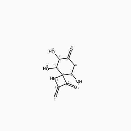 O=C1NC2(C1=O)C(O)CC(=O)C(O)C2O